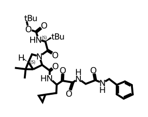 CC(C)(C)OC(=O)N[C@H](C(=O)N1C[C@H]2C(C1C(=O)NC(CC1CC1)C(=O)C(=O)NCC(=O)NCc1ccccc1)C2(C)C)C(C)(C)C